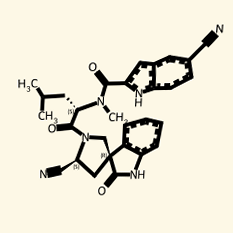 CC(C)C[C@@H](C(=O)N1C[C@]2(C[C@H]1C#N)C(=O)Nc1ccccc12)N(C)C(=O)c1cc2cc(C#N)ccc2[nH]1